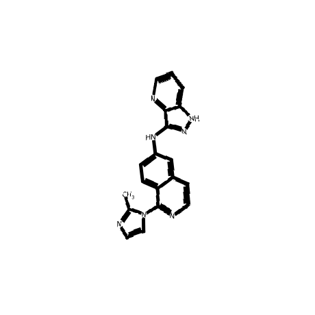 Cc1nccn1-c1nccc2cc(Nc3n[nH]c4cccnc34)ccc12